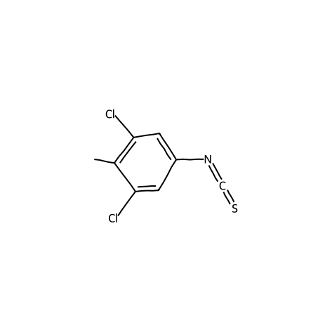 Cc1c(Cl)cc(N=C=S)cc1Cl